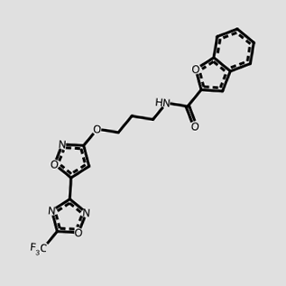 O=C(NCCCOc1cc(-c2noc(C(F)(F)F)n2)on1)c1cc2ccccc2o1